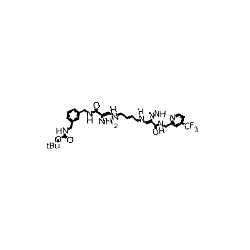 CC(C)(C)OC(=O)NCc1cccc(CNC(=O)/C(N)=C/NCCCCN/C=C(\N=N)C(=O)NCc2cc(C(F)(F)F)ccn2)c1